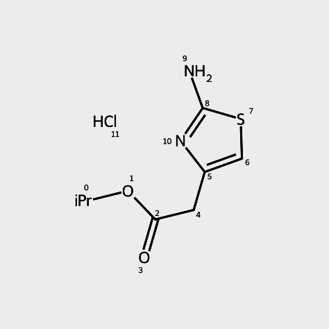 CC(C)OC(=O)Cc1csc(N)n1.Cl